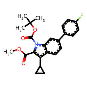 COC(=O)c1c(C2CC2)c2ccc(-c3ccc(F)cc3)cc2n1C(=O)OC(C)(C)C